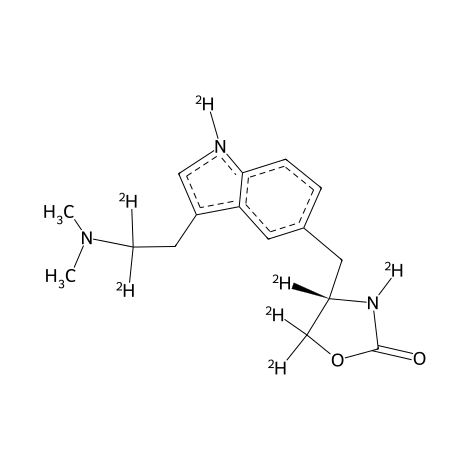 [2H]N1C(=O)OC([2H])([2H])[C@]1([2H])Cc1ccc2c(c1)c(CC([2H])([2H])N(C)C)cn2[2H]